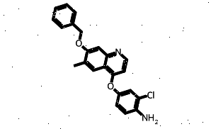 Cc1cc2c(Oc3ccc(N)c(Cl)c3)ccnc2cc1OCc1ccccc1